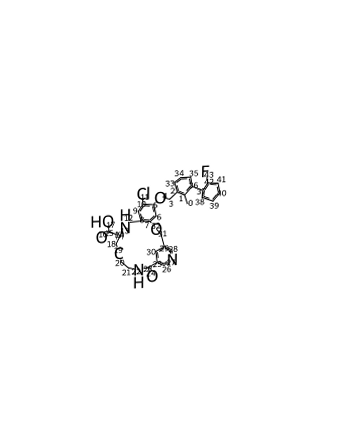 Cc1c(COc2cc3c(cc2Cl)CN[C@H](C(=O)O)CCCCNC(=O)c2cncc(c2)CO3)cccc1-c1ccccc1F